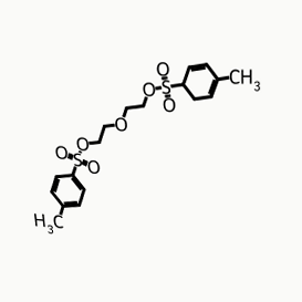 CC1=CCC(S(=O)(=O)OCCOCCOS(=O)(=O)c2ccc(C)cc2)C=C1